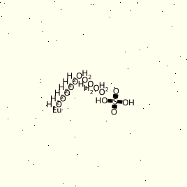 O.O.O.O.O.O.O.O.O.O.O=S(=O)(O)O.[Eu]